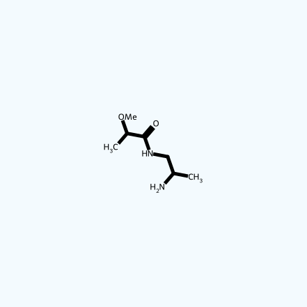 COC(C)C(=O)NCC(C)N